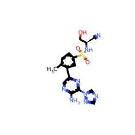 Cc1ccc(S(=O)(=O)N[C@H](C#N)CO)cc1-c1cnc(N)c(-n2cncn2)n1